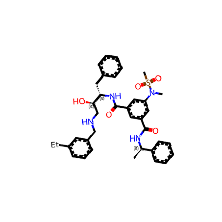 CCc1cccc(CNC[C@@H](O)[C@H](Cc2ccccc2)NC(=O)c2cc(C(=O)N[C@H](C)c3ccccc3)cc(N(C)S(C)(=O)=O)c2)c1